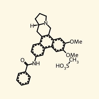 COc1cc2c3c(c4ccc(NC(=O)c5ccccc5)cc4c2cc1OC)C[C@@H]1CCCN1C3.CS(=O)(=O)O